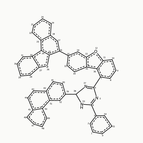 c1ccc(C2=NC(c3cccc4oc5cc(-c6cc7ccccc7c7c6sc6ccccc67)ccc5c34)=NC(c3ccc4ccc5ccccc5c4c3)N2)cc1